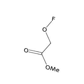 COC(=O)COF